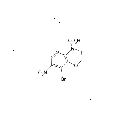 O=C(O)N1CCOc2c1ncc([N+](=O)[O-])c2Br